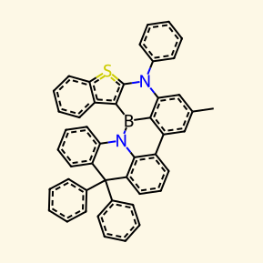 Cc1cc2c3c(c1)N(c1ccccc1)c1sc4ccccc4c1B3N1c3ccccc3C(c3ccccc3)(c3ccccc3)c3cccc-2c31